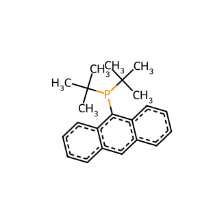 CC(C)(C)P(c1c2ccccc2cc2ccccc12)C(C)(C)C